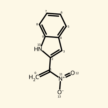 C=C(c1cc2ccccc2[nH]1)[N+](=O)[O-]